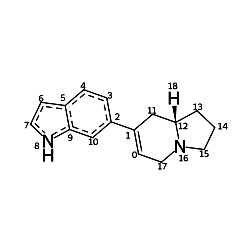 C1=C(c2ccc3cc[nH]c3c2)C[C@@H]2CCCN2C1